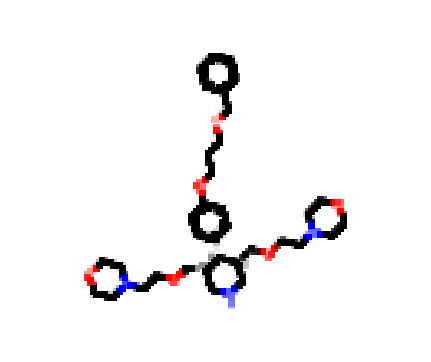 c1ccc(COCCCOc2ccc([C@H]3[C@@H](COCCN4CCOCC4)CNC[C@H]3COCCN3CCOCC3)cc2)cc1